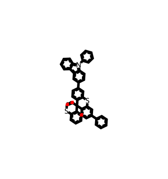 c1ccc(-c2ccc3c(c2)Sc2cc(-c4ccc5c(c4)c4ccccc4n5-c4ccccc4)ccc2C32c3ccccc3Sc3ccccc32)cc1